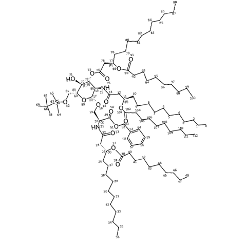 CCCCCCCCCCC[C@H](CC(=O)N[C@H]1[C@H](OC[C@H](NC(=O)C[C@@H](CCCCCCCCCCC)OC(=O)CCCCCCCCC)C(=O)OCc2ccccc2)O[C@H](CO[Si](C)(C)C(C)(C)C)[C@@H](O)[C@@H]1OC(=O)C[C@@H](CCCCCCCCCCC)OC(=O)CCCCCCCCC)OC(=O)CCCCCCCCC